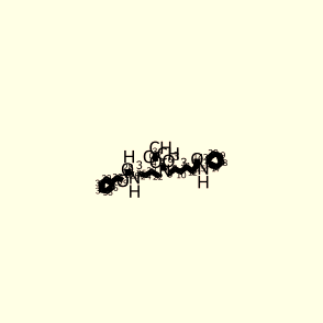 CC(C)(C)OC(=O)N(CCCCCC(=O)Nc1ccccc1)CCCCNC(=O)OCc1ccccc1